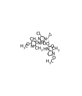 COc1ccc(NC(=O)OC[C@@H](C2CC2)n2cc(Cl)nc(Nc3cc(C)c(OC)nc3C)c2=O)c(C)n1